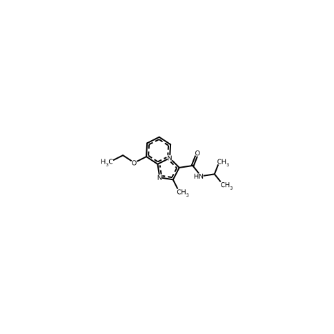 CCOc1cccn2c(C(=O)NC(C)C)c(C)nc12